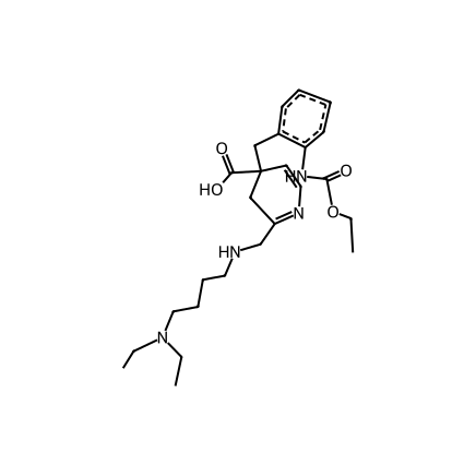 CCOC(=O)Nc1ccccc1CC1(C(=O)O)C=CN=C(CNCCCCN(CC)CC)C1